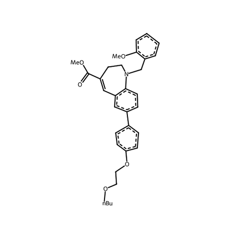 CCCCOCCOc1ccc(-c2ccc3c(c2)C=C(C(=O)OC)CCN3Cc2ccccc2OC)cc1